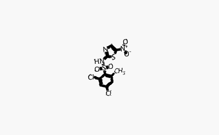 Cc1cc(Cl)cc(Cl)c1S(=O)(=O)Nc1ncc([N+](=O)[O-])s1